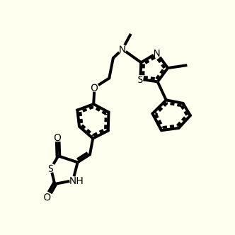 Cc1nc(N(C)CCOc2ccc(C=C3NC(=O)SC3=O)cc2)sc1-c1ccccc1